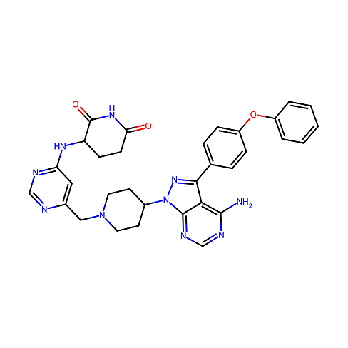 Nc1ncnc2c1c(-c1ccc(Oc3ccccc3)cc1)nn2C1CCN(Cc2cc(NC3CCC(=O)NC3=O)ncn2)CC1